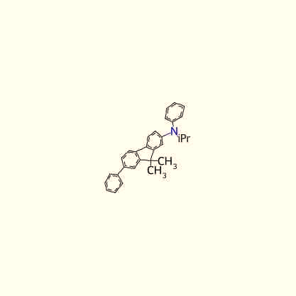 CC(C)N(c1ccccc1)c1ccc2c(c1)C(C)(C)c1cc(-c3ccccc3)ccc1-2